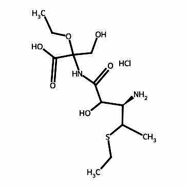 CCOC(CO)(NC(=O)C(O)[C@@H](N)C(C)SCC)C(=O)O.Cl